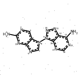 Nc1ncc2c(ncn2-n2nnc3c(N)ncnc32)n1